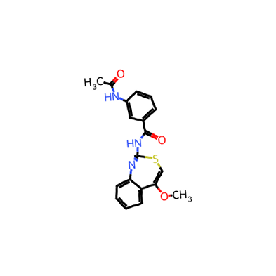 COC1=CSC(NC(=O)c2cccc(NC(C)=O)c2)=Nc2ccccc21